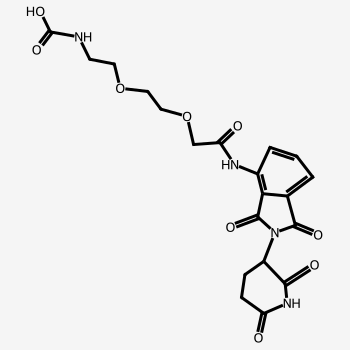 O=C(O)NCCOCCOCC(=O)Nc1cccc2c1C(=O)N(C1CCC(=O)NC1=O)C2=O